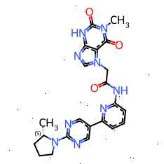 C[C@H]1CCCN1c1ncc(-c2cccc(NC(=O)Cn3cnc4[nH]c(=O)n(C)c(=O)c43)n2)cn1